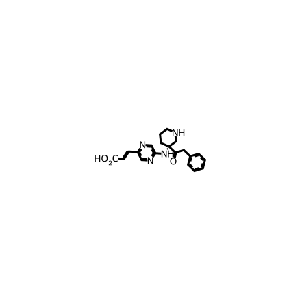 O=C(O)/C=C/c1cnc(N[C@]2(C(=O)Cc3ccccc3)CCCNC2)cn1